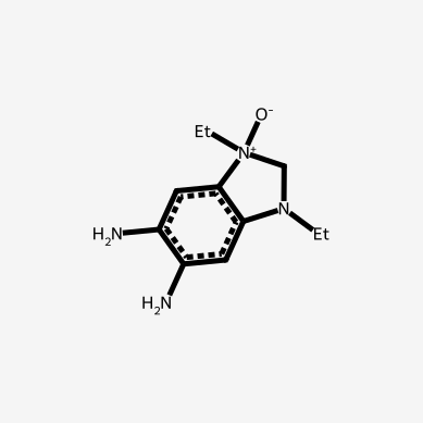 CCN1C[N+]([O-])(CC)c2cc(N)c(N)cc21